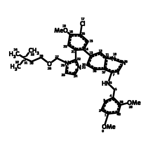 COc1ccc(CNc2cnnc3cc(-c4cc(Cl)c(OC)cc4-c4nccn4COCCS(C)(C)C)ccc23)c(OC)c1